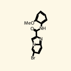 COc1ccccc1NC(=O)c1cn2cc(Br)ccc2n1